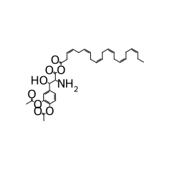 CC/C=C\C/C=C\C/C=C\C/C=C\C/C=C\C/C=C\CC(=O)OC(=O)C(N)C(O)c1ccc(OC(C)=O)c(OC(C)=O)c1